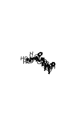 C=CCOC(=O)N[C@@H](Cc1ccccc1)C(=O)N[C@H](C(=O)N(C)[C@@H](C)C(=O)N1CC[C@H]1C(=O)N(C)[C@@H](CC1CCCCC1)C(=O)N(C)CC(=O)N[C@@H](CC(=O)O)C(=O)O)[C@@H](C)CC